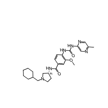 COc1cc(C(=O)N[C@@H]2CCN(CC3CCCCC3)C2)ccc1NC(=O)Nc1cnc(C)cn1